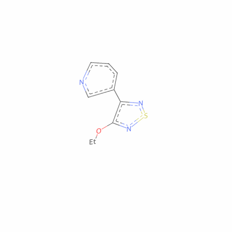 CCOc1nsnc1-c1cccnc1